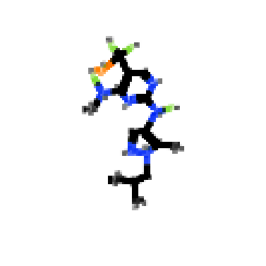 Cc1c(N(F)c2ncc(C(F)(F)P)c(N(C)F)n2)cnn1CC(C)C